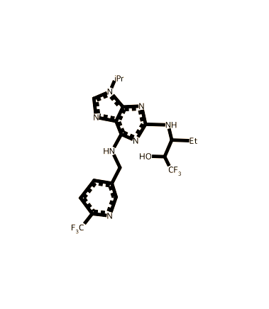 CCC(Nc1nc(NCc2ccc(C(F)(F)F)nc2)c2ncn(C(C)C)c2n1)C(O)C(F)(F)F